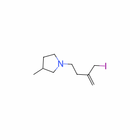 C=C(CI)CCN1CCC(C)C1